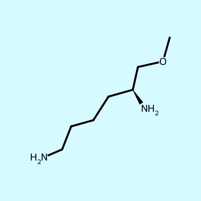 COC[C@@H](N)CCCCN